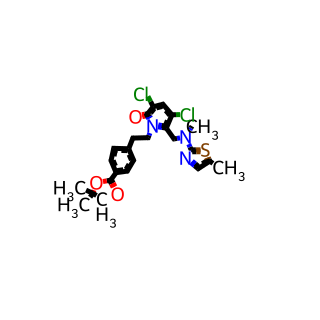 Cc1cnc(N(C)Cc2c(Cl)cc(Cl)c(=O)n2CCc2ccc(C(=O)OC(C)(C)C)cc2)s1